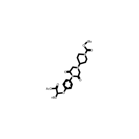 CCCCC(Oc1ccc(N2C(=O)CN(C3CCN(C(=O)OC(C)(C)C)CC3)CC2=O)cc1)C(=O)OC(C)=O